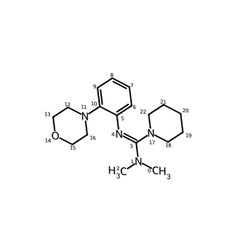 CN(C)C(=Nc1ccccc1N1CCOCC1)N1CCCCC1